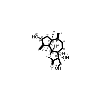 C=C1[C@@H]2[C@H]3OC(=O)[C@](O)(CO)[C@@H]3CCC(=C)[C@@H]2C[C@@H]1O